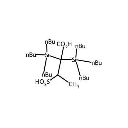 CCCC[Si](CCCC)(CCCC)C(C(=O)O)(C(C)S(=O)(=O)O)[Si](CCCC)(CCCC)CCCC